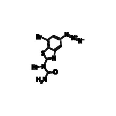 CCN(C(N)=O)c1nc2cc(N=[N+]=[N-])cc(Br)c2s1